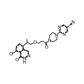 CC(COCCC(=O)N1CCN(c2ncc(C#N)cn2)CC1)c1ccc(Cl)c2c(=O)[nH]ncc12